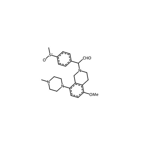 COc1ccc(N2CCN(C)CC2)c2c1CCN(C(C=O)c1ccc([S+](C)[O-])cc1)C2